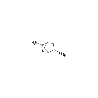 N#CC1CC2CC1CN2N